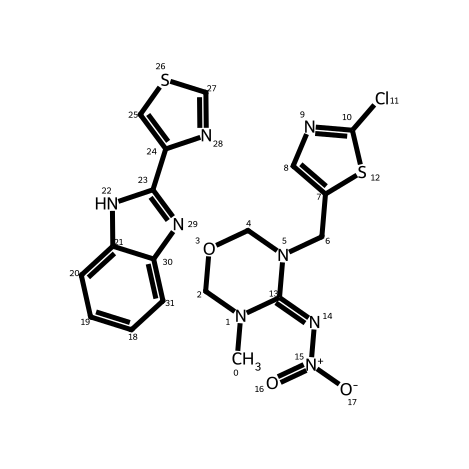 CN1COCN(Cc2cnc(Cl)s2)/C1=N/[N+](=O)[O-].c1ccc2[nH]c(-c3cscn3)nc2c1